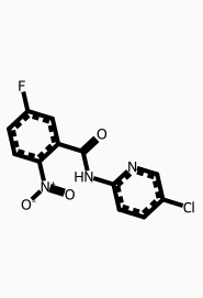 O=C(Nc1ccc(Cl)cn1)c1cc(F)ccc1[N+](=O)[O-]